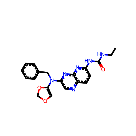 CCNC(=O)Nc1ccc2ncc(N(Cc3ccccc3)C3=COCO3)nc2n1